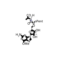 CCCCCN(OC[C@H]1O[C@@H](n2cnc3c(OC)nc(N)nc32)[C@](C)(O)[C@@H]1O)/[P+]([O-])=N/C(C)C(=O)O